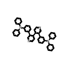 c1ccc(N(c2ccccc2)c2cccc(-c3cnccc3-c3ccncc3-c3cccc(N(c4ccccc4)c4ccccc4)c3)c2)cc1